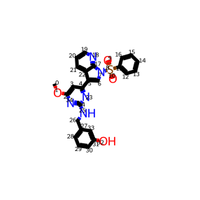 COc1cc(-c2cn(S(=O)(=O)c3ccccc3)c3ncccc23)nc(NCc2cccc(O)c2)n1